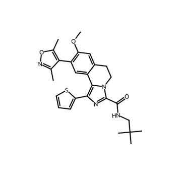 COc1cc2c(cc1-c1c(C)noc1C)-c1c(-c3cccs3)nc(C(=O)NCC(C)(C)C)n1CC2